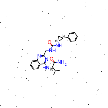 CC(C)[C@H](Nc1nc(CNC(=O)N[C@@H]2C[C@H]2c2ccccc2)nc2ccccc12)C(N)=O